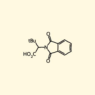 CC(C)(C)C(C(=O)O)N1C(=O)c2ccccc2C1=O